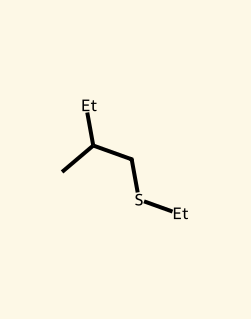 [CH2]CSCC(C)CC